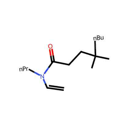 C=CN(CCC)C(=O)CCC(C)(C)CCCC